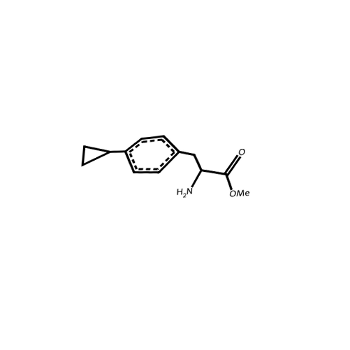 COC(=O)C(N)Cc1ccc(C2CC2)cc1